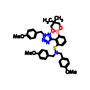 COc1ccc(CN(Cc2ccc(OC)cc2)Sc2cccc(B3OCC(C)(C)CO3)c2-c2nnn(Cc3ccc(OC)cc3)n2)cc1